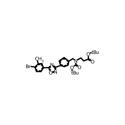 Cc1cc(-c2nc(-c3ccc(CN(CCC(=O)OC(C)(C)C)C(=O)OC(C)(C)C)cc3)no2)ccc1Br